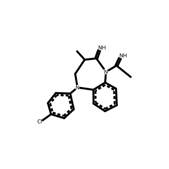 CC(=N)N1C(=N)C(C)CN(c2ccc(Cl)cc2)c2ccccc21